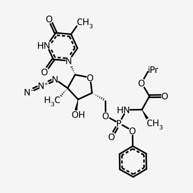 Cc1cn([C@@H]2O[C@H](COP(=O)(N[C@H](C)C(=O)OC(C)C)Oc3ccccc3)[C@@H](O)[C@@]2(C)N=[N+]=[N-])c(=O)[nH]c1=O